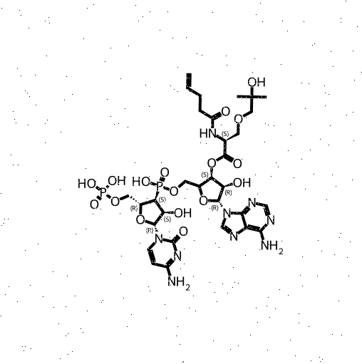 C=CCCC(=O)N[C@@H](COCC(C)(C)O)C(=O)O[C@@H]1C(COP(=O)(O)[C@H]2[C@@H](O)[C@H](n3ccc(N)nc3=O)O[C@@H]2COP(=O)(O)O)O[C@@H](n2cnc3c(N)ncnc32)[C@@H]1O